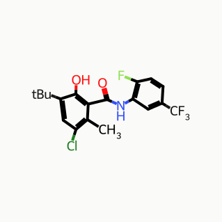 Cc1c(Cl)cc(C(C)(C)C)c(O)c1C(=O)Nc1cc(C(F)(F)F)ccc1F